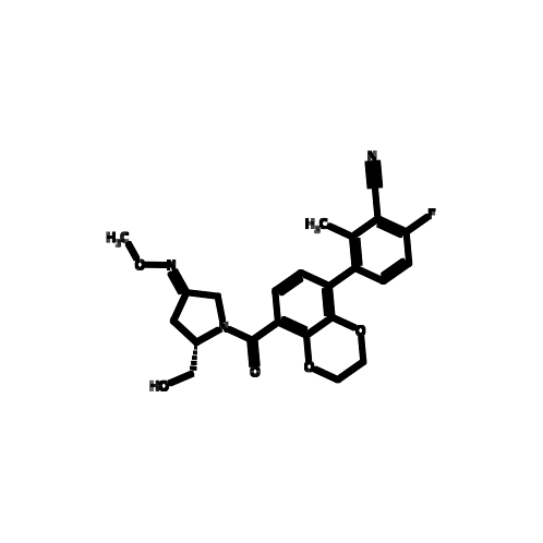 CO/N=C1\C[C@@H](CO)N(C(=O)c2ccc(-c3ccc(F)c(C#N)c3C)c3c2OCCO3)C1